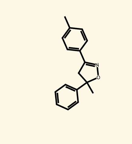 Cc1ccc(C2=NOC(C)(c3ccccc3)C2)cc1